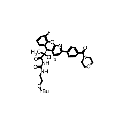 CCCCOCCNC(=O)NC(=O)C(C)(C)[C@@H]1c2ccc(-c3ccc(C(=O)N4CCOCC4)cc3)nc2Oc2c(F)cccc21